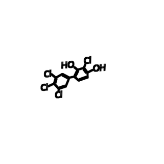 Oc1ccc(-c2cc(Cl)c(Cl)c(Cl)c2)c(O)c1Cl